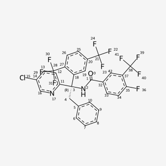 O=C(N[C@@](Cc1ccccc1)(c1ccc(Cl)cn1)c1cc(C(F)(F)F)ccc1C(F)(F)F)c1ccc(F)c(C(F)(F)F)c1